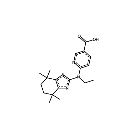 CCN(c1ccc(C(=O)O)cn1)c1nc2c(s1)C(C)(C)CCC2(C)C